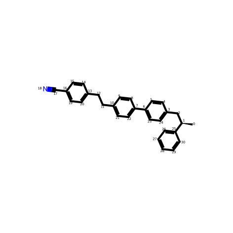 C[C@H](Cc1ccc(-c2ccc(CCc3ccc(C#N)cc3)cc2)cc1)c1ccccc1